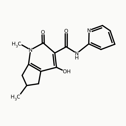 CC1Cc2c(O)c(C(=O)Nc3ccccn3)c(=O)n(C)c2C1